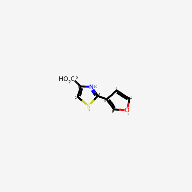 O=C(O)c1csc(-c2ccoc2)n1